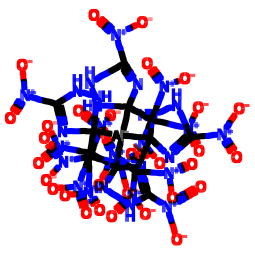 O=[N+]([O-])C1=N[C](C([N+](=O)[O-])([N+](=O)[O-])[N+](=O)[O-])([Al-]([C]2(C([N+](=O)[O-])([N+](=O)[O-])[N+](=O)[O-])N=C([N+](=O)[O-])NN2)([C]2(C([N+](=O)[O-])([N+](=O)[O-])[N+](=O)[O-])N=C([N+](=O)[O-])NN2)[C]2(C([N+](=O)[O-])([N+](=O)[O-])[N+](=O)[O-])N=C([N+](=O)[O-])NN2)NN1